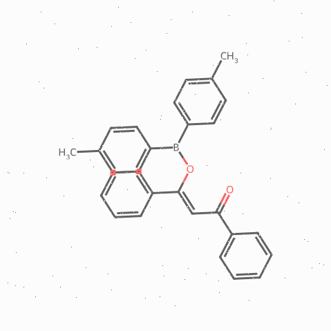 Cc1ccc(B(O/C(=C\C(=O)c2ccccc2)c2ccccc2)c2ccc(C)cc2)cc1